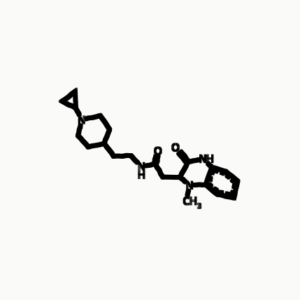 CN1c2ccccc2NC(=O)C1CC(=O)NCCC1CCN(C2CC2)CC1